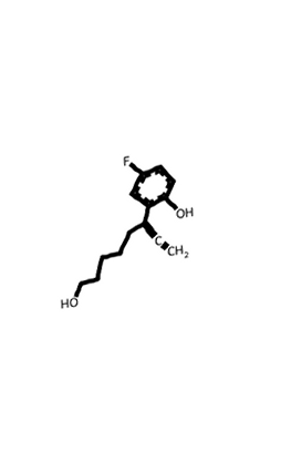 C=C=C(CCCCCO)c1cc(F)ccc1O